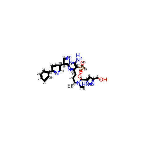 C=CN(C(=O)c1cc(CO)n[nH]1)[C@H](CC)CCc1nc2c(-c3ccc(-c4ccccc4)nc3)cnn2c(N)c1S(C)(=O)=O